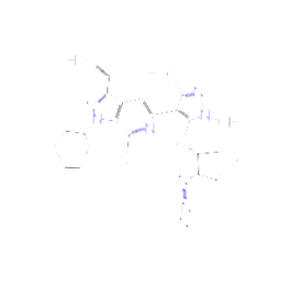 C=Cc1nn(C2CCCCO2)c2c(C)nc(-c3c(C)nn(C)c3O[C@H]3COC[C@H]3N=[N+]=[N-])cc12